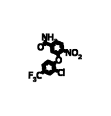 NC(=O)c1ccc([N+](=O)[O-])c(Oc2ccc(C(F)(F)F)cc2Cl)c1